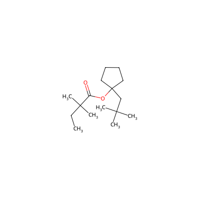 CCC(C)(C)C(=O)OC1(CC(C)(C)C)CCCC1